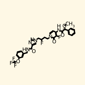 CO[C@H](C(=O)Nc1ccn(CCC(F)Cn2cc(C(=O)NCc3cccc(OC(F)(F)F)c3)nn2)c(=O)c1F)c1ccccc1